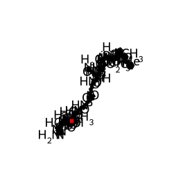 CCC(C)C(C(CC(=O)N1CCCC1C(OC)C(C)C(=O)NC(Cc1ccccc1)C(=O)O)OC)N(C)C(=O)C(NC(=O)C(C(C)C)N(C)C(=O)OCc1ccc(NC(=O)C(CCCNC(N)=O)NC(=O)C(NC(=O)CCCCCN2C(=O)CC(SCCNC(=O)CCNC(=O)C(O)C(C)(C)COP(=O)(O)OP(=O)(O)OCC3OC(n4cnc5c(N)ncnc54)C(O)C3OP(=O)(O)O)C2=O)C(C)C)cc1)C(C)C